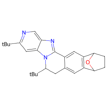 CC(C)(C)c1cc2c(cn1)nc1n2C(C(C)(C)C)Cc2cc3c(cc2-1)C1CCC3O1